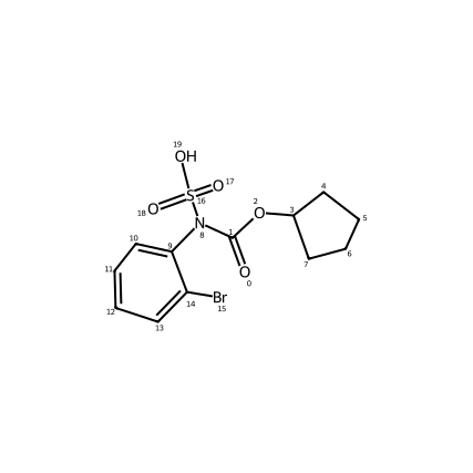 O=C(OC1CCCC1)N(c1ccccc1Br)S(=O)(=O)O